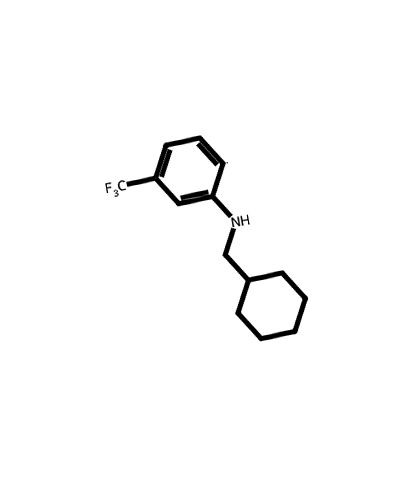 FC(F)(F)c1cc[c]c(NCC2CCCCC2)c1